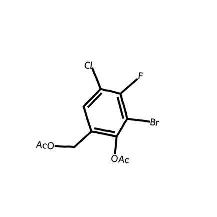 CC(=O)OCc1cc(Cl)c(F)c(Br)c1OC(C)=O